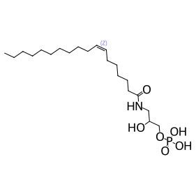 CCCCCCCCCC/C=C\CCCCCC(=O)NCC(O)COP(=O)(O)O